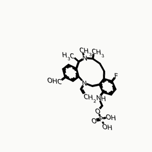 C=CN1Cc2c(NCOP(=O)(O)O)ccc(F)c2CCC(C)N(C)C(C)c2ccc(C=O)cc21